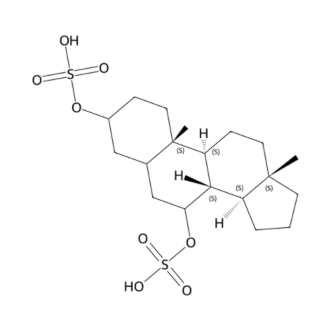 C[C@@]12CCC[C@H]1[C@@H]1C(OS(=O)(=O)O)CC3CC(OS(=O)(=O)O)CC[C@]3(C)[C@H]1CC2